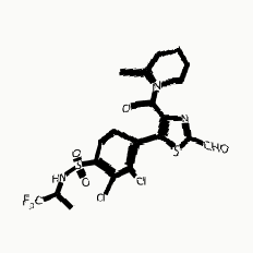 CC1CCCCN1C(=O)c1nc(C=O)sc1-c1ccc(S(=O)(=O)NC(C)C(F)(F)F)c(Cl)c1Cl